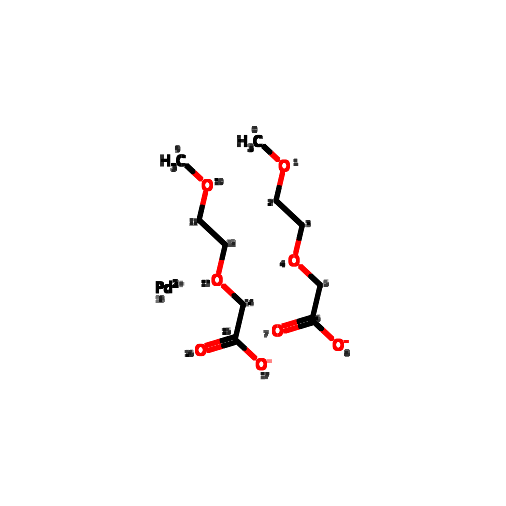 COCCOCC(=O)[O-].COCCOCC(=O)[O-].[Pd+2]